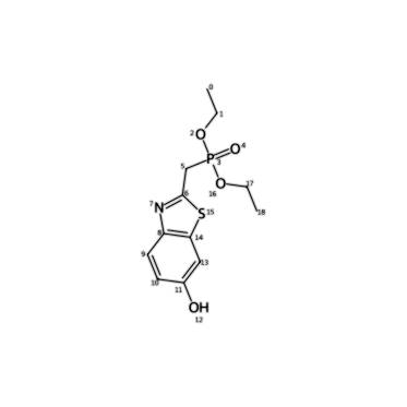 CCOP(=O)(Cc1nc2ccc(O)cc2s1)OCC